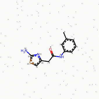 Cc1cccc(NC(=O)Cc2csc(N)n2)c1